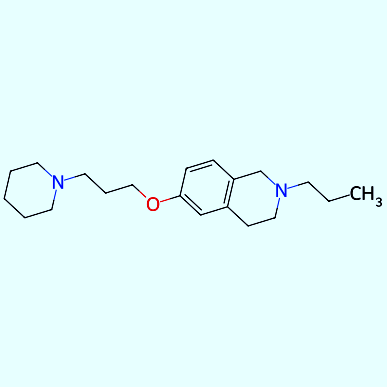 CCCN1CCc2cc(OCCCN3CCCCC3)ccc2C1